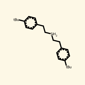 CC(C)(C)c1ccc(CC[SiH2]CCc2ccc(C(C)(C)C)cc2)cc1